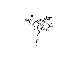 COCCOc1cc(CN(C)C)cc2[nH]c(=O)c3c(c12)NCCC3.Cl.Cl